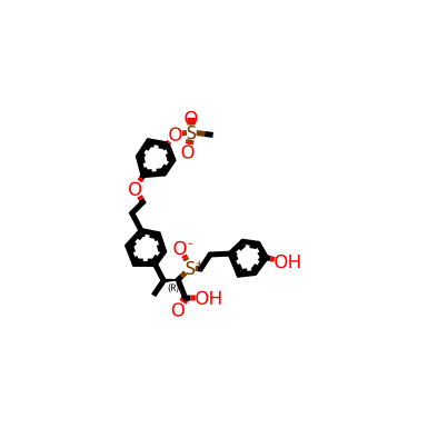 CC(c1ccc(CCOc2ccc(OS(C)(=O)=O)cc2)cc1)[C@H](C(=O)O)[S+]([O-])CCc1ccc(O)cc1